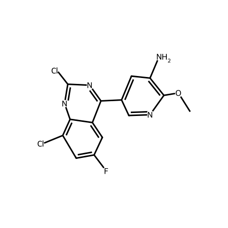 COc1ncc(-c2nc(Cl)nc3c(Cl)cc(F)cc23)cc1N